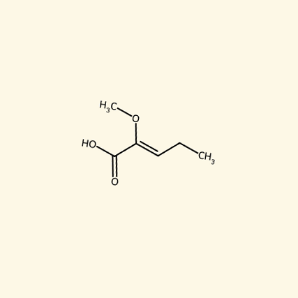 CC/C=C(\OC)C(=O)O